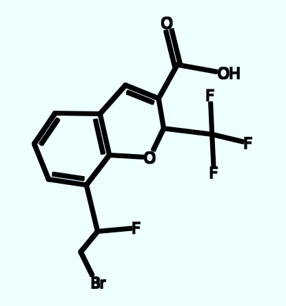 O=C(O)C1=Cc2cccc(C(F)CBr)c2OC1C(F)(F)F